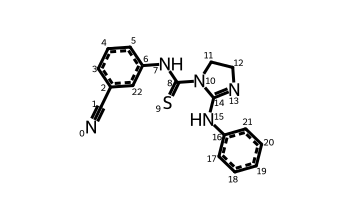 N#Cc1cccc(NC(=S)N2CCN=C2Nc2ccccc2)c1